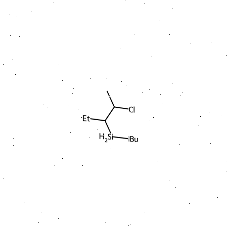 CCC(C)[SiH2]C(CC)C(C)Cl